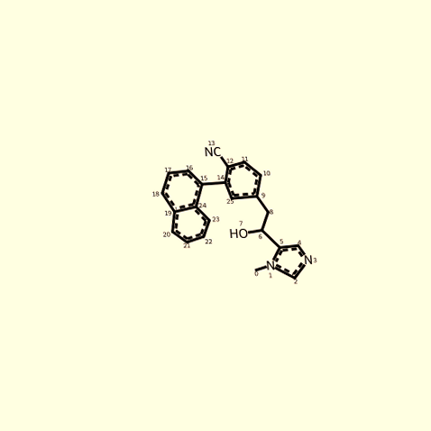 Cn1cncc1C(O)Cc1ccc(C#N)c(-c2cccc3ccccc23)c1